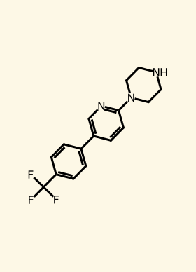 FC(F)(F)c1ccc(-c2ccc(N3CCNCC3)nc2)cc1